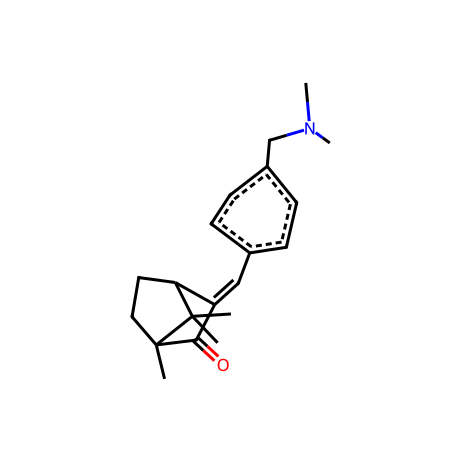 CN(C)Cc1ccc(C=C2C(=O)C3(C)CCC2C3(C)C)cc1